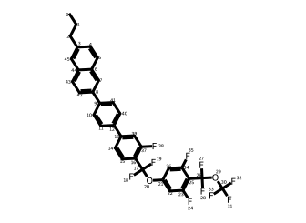 CCCc1ccc2cc(-c3ccc(-c4ccc(C(F)(F)Oc5cc(F)c(C(F)(F)OC(F)(F)F)c(F)c5)c(F)c4)cc3)ccc2c1